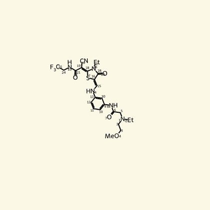 CCN(CCOC)CC(=O)Nc1cccc(NC=c2sc(=C(C#N)C(=O)NCC(F)(F)F)n(CC)c2=O)c1